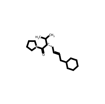 CC(C)[C@H](CC=CCC1CCCCC1)C(=O)N1CCCC1